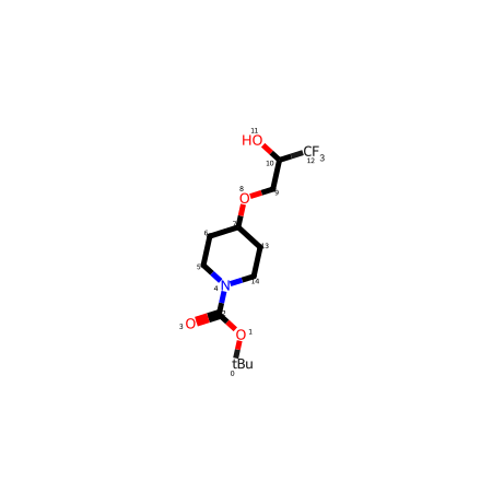 CC(C)(C)OC(=O)N1CCC(OCC(O)C(F)(F)F)CC1